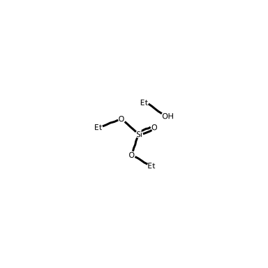 CCO.CCO[Si](=O)OCC